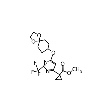 COC(=O)C1(c2cc(OC3CCC4(CC3)OCCO4)nc(C(F)(F)F)n2)CC1